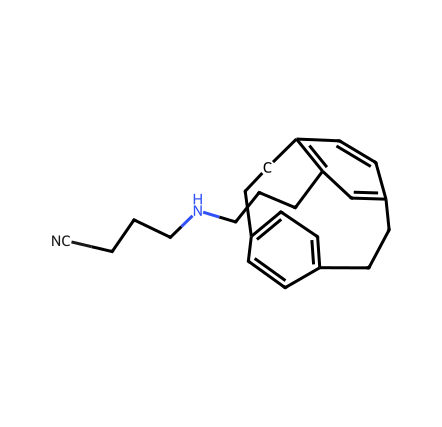 N#CCCCNCCCc1cc2ccc1CCc1ccc(cc1)CC2